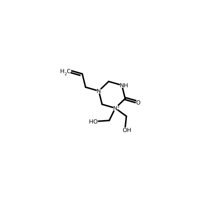 C=CCN1CNC(=O)[N+](CO)(CO)C1